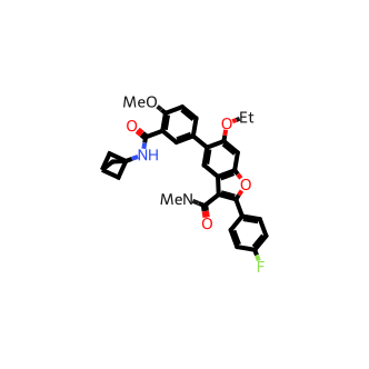 CCOc1cc2oc(-c3ccc(F)cc3)c(C(=O)NC)c2cc1-c1ccc(OC)c(C(=O)NC23CC(C2)C3)c1